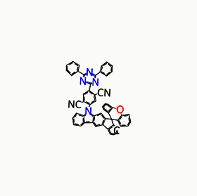 N#Cc1cc(-n2c3ccccc3c3cc4c(cc32)C2(c3ccccc3Oc3ccccc32)c2ccccc2-4)c(C#N)cc1-c1nc(-c2ccccc2)nc(-c2ccccc2)n1